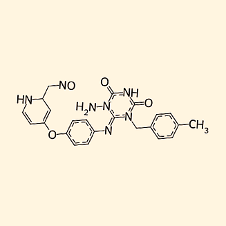 Cc1ccc(Cn2c(=O)[nH]c(=O)n(N)/c2=N\c2ccc(OC3=CC(CN=O)NC=C3)cc2)cc1